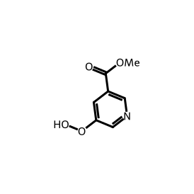 COC(=O)c1cncc(OO)c1